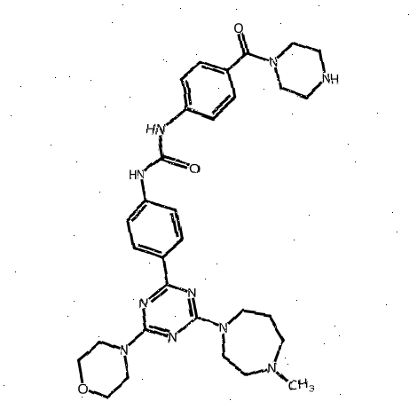 CN1CCCN(c2nc(-c3ccc(NC(=O)Nc4ccc(C(=O)N5CCNCC5)cc4)cc3)nc(N3CCOCC3)n2)CC1